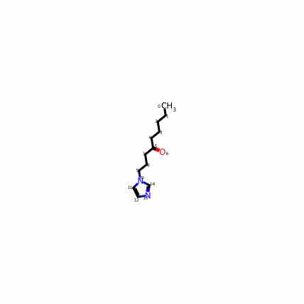 CCCCCC(=O)CCCn1ccnc1